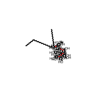 CCCCCCCC/C=C\CCCCCCCCCCCCCCCC(=O)N[C@@H](CO[C@@H]1OC(CO)[C@@H](O[C@@H]2OC(CO)[C@H](O)[C@H](O[C@@H]3OC(CO)[C@@H](O)[C@H](O[C@@H]4OC(CO)[C@H](O)[C@H](O[C@@H]5OC(CO)[C@@H](O)[C@H](O[C@@H]6OC(CO)[C@H](O)[C@H](O[C@H]7OC(CO)[C@H](O)[C@H](O)C7NC(C)=O)C6O)C5NC(C)=O)C4O)C3NC(C)=O)C2O)[C@H](O)C1O)[C@H](O)/C=C/CCCCCCCCCCCCC